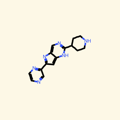 c1cnc(-c2cc3[nH]c(C4CCNCC4)ncc-3n2)cn1